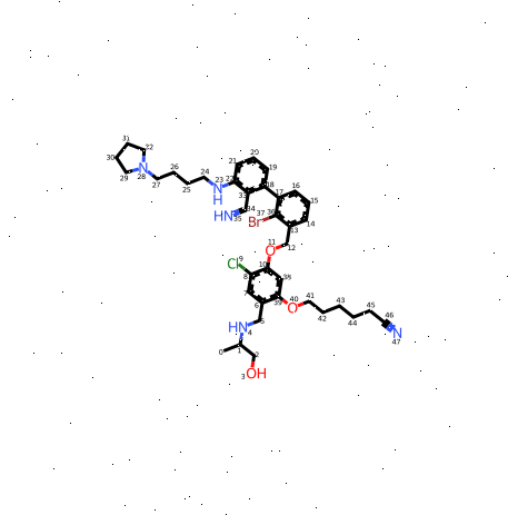 CC(CO)NCc1cc(Cl)c(OCc2cccc(-c3cccc(NCCCCN4CCCC4)c3C=N)c2Br)cc1OCCCCCC#N